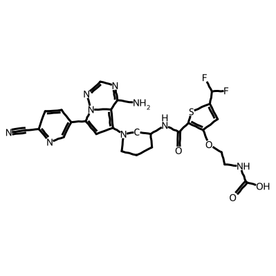 N#Cc1ccc(-c2cc(N3CCCC(NC(=O)c4sc(C(F)F)cc4OCCNC(=O)O)C3)c3c(N)ncnn23)cn1